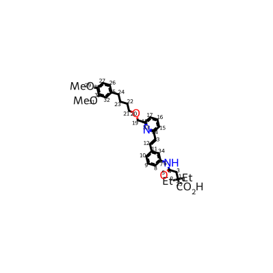 CCC(CC)(CC(=O)Nc1cccc(C=Cc2cccc(COCCCCc3ccc(OC)c(OC)c3)n2)c1)C(=O)O